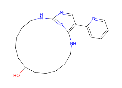 OC1CCCCCNc2ncc(-c3ccccn3)c(n2)NCCCCC1